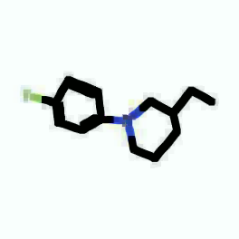 CCC1CCCN(c2ccc(F)cc2)C1